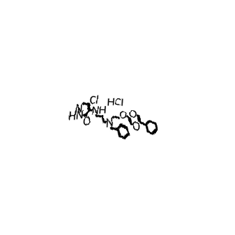 Cl.O=c1[nH]ncc(Cl)c1NCCCN(CCOC1=COC(C2=CC=CCC2)=CO1)Cc1ccccc1